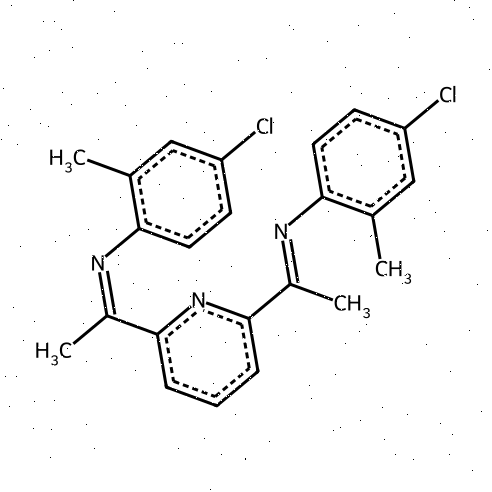 CC(=Nc1ccc(Cl)cc1C)c1cccc(C(C)=Nc2ccc(Cl)cc2C)n1